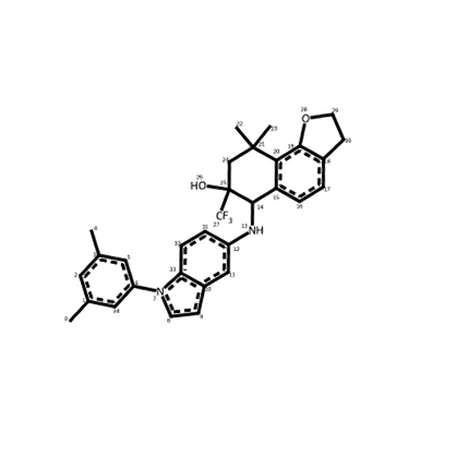 Cc1cc(C)cc(-n2ccc3cc(NC4c5ccc6c(c5C(C)(C)CC4(O)C(F)(F)F)OCC6)ccc32)c1